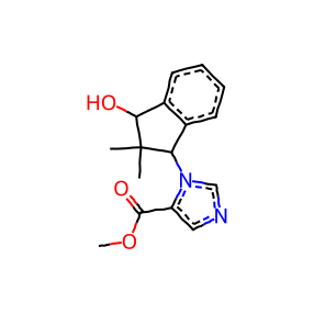 COC(=O)c1cncn1C1c2ccccc2C(O)C1(C)C